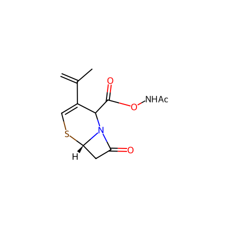 C=C(C)C1=CS[C@H]2CC(=O)N2C1C(=O)ONC(C)=O